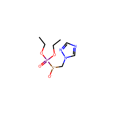 CCOP(=O)(OCC)[S+]([O-])Cn1cncn1